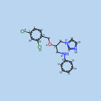 Clc1ccc(COC(CNc2ccccc2)Cn2ccnc2)c(Cl)c1